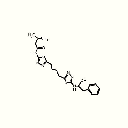 CN(C)CC(=O)Nc1nnc(CCCCc2nnc(NC(O)Cc3ccccc3)s2)s1